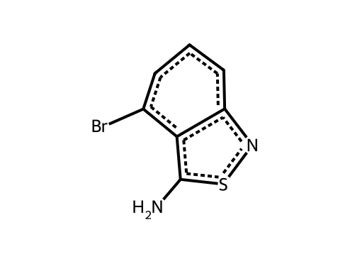 Nc1snc2cccc(Br)c12